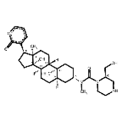 CN(C(=O)N1CCNC[C@@H]1CO)[C@H]1CC[C@@]2(C)[C@H](CC[C@@H]3[C@@H]2CC[C@]2(C)[C@H](c4cccoc4=O)CC[C@]32O)C1